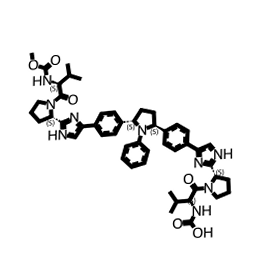 COC(=O)N[C@H](C(=O)N1CCC[C@H]1c1nc(-c2ccc([C@@H]3CC[C@@H](c4ccc(-c5c[nH]c([C@@H]6CCCN6C(=O)[C@@H](NC(=O)O)C(C)C)n5)cc4)N3c3ccccc3)cc2)c[nH]1)C(C)C